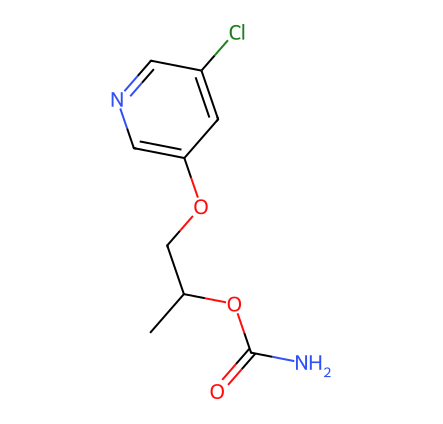 CC(COc1cncc(Cl)c1)OC(N)=O